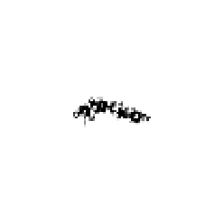 O=C1CCC(N2Cc3cc([C@@H](O)CN4CC5(C4)CN(c4ccc(Br)cc4)C5)ccc3C2=O)C(=O)N1